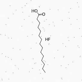 CCCCCCCCCCCCCCC(=O)O.F